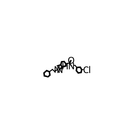 O=C(NCc1cccc(Cl)c1)c1ccc2cn(CCc3ccccc3)nc2c1